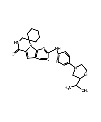 CC(C)C1CN(c2ccc(Nc3ncc4cc5n(c4n3)C3(CCCCC3)CNC5=O)nc2)CCN1